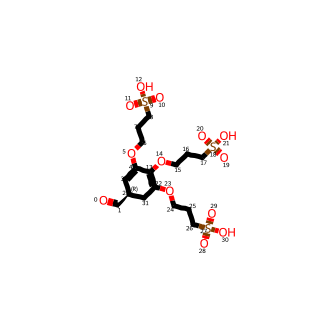 O=C[C@H]1C=C(OCCCS(=O)(=O)O)C(OCCCS(=O)(=O)O)=C(OCCCS(=O)(=O)O)C1